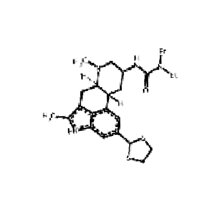 CCN(CC)C(=O)N[C@H]1C[C@@H]2c3cc(C4SCCS4)cc4[nH]c(C)c(c34)C[C@H]2N(C)C1